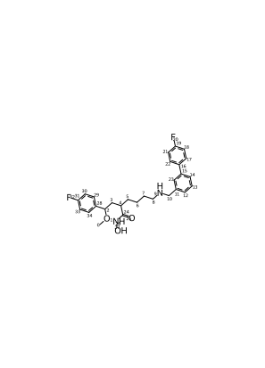 COC(CC(CCCCNCc1cccc(-c2ccc(F)cc2)c1)C(=O)NO)c1ccc(F)cc1